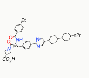 CCCC1CCC(C2CCC(c3cnc(-c4ccc(C[C@H](NC(=O)c5ccc(CC)cc5)C(=O)N5CC(C(=O)O)C5)cc4)nc3)CC2)CC1